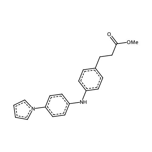 COC(=O)CCc1ccc(Nc2ccc(-n3cccc3)cc2)cc1